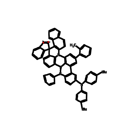 Cc1ccccc1-c1cc2c3c(c1)N1c4ccc5ccccc5c4C4(c5ccccc5-c5ccccc54)c4cccc(c41)B3N(c1ccccc1)c1ccc(N(c3ccc(C(C)(C)C)cc3)c3ccc(C(C)(C)C)cc3)cc1-2